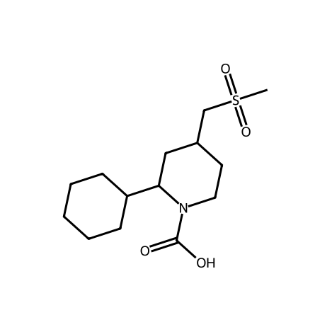 CS(=O)(=O)CC1CCN(C(=O)O)C(C2CCCCC2)C1